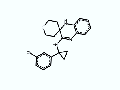 Clc1cccc(C2(NC3=Nc4ccccc4NC34CCOCC4)CC2)c1